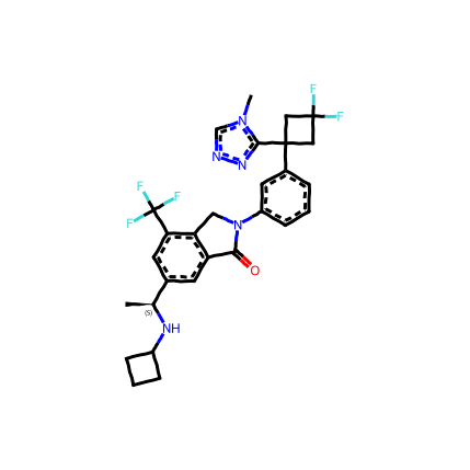 C[C@H](NC1CCC1)c1cc2c(c(C(F)(F)F)c1)CN(c1cccc(C3(c4nncn4C)CC(F)(F)C3)c1)C2=O